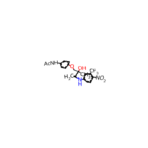 C=C(Nc1ccc([N+](=O)[O-])c(C(F)(F)F)c1)C(C)(O)COc1ccc(NC(C)=O)cc1